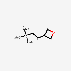 CO[Si](CCC1COC1)(OC)OC